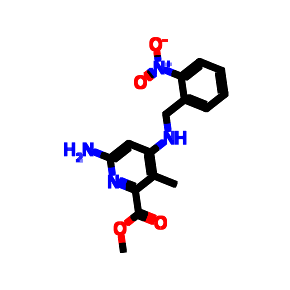 COC(=O)c1nc(N)cc(NCc2ccccc2[N+](=O)[O-])c1C